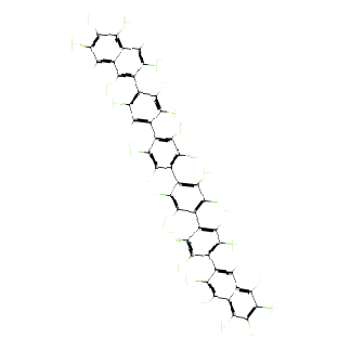 Fc1c(F)c(-c2c(F)c(F)c(-c3c(F)c(F)c4c(F)c(F)c(F)c(F)c4c3F)c(F)c2F)c(F)c(F)c1-c1c(F)c(F)c(-c2c(F)c(F)c(-c3c(F)c(F)c4c(F)c(F)c(F)c(F)c4c3F)c(F)c2F)c(F)c1F